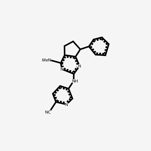 CNc1nc(Nc2ccc(C#N)nc2)nc2c1CCC2c1ccccc1